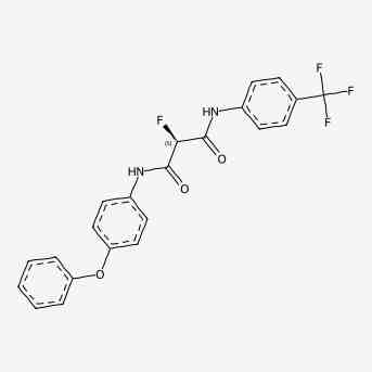 O=C(Nc1ccc(Oc2ccccc2)cc1)[C@@H](F)C(=O)Nc1ccc(C(F)(F)F)cc1